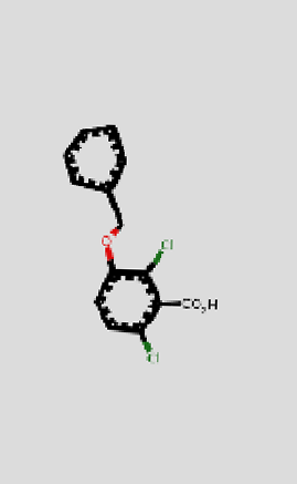 O=C(O)c1c(Cl)ccc(OCc2ccccc2)c1Cl